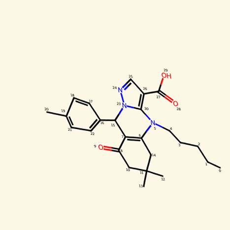 CCCCCN1C2=C(C(=O)CC(C)(C)C2)C(c2ccc(C)cc2)n2ncc(C(=O)O)c21